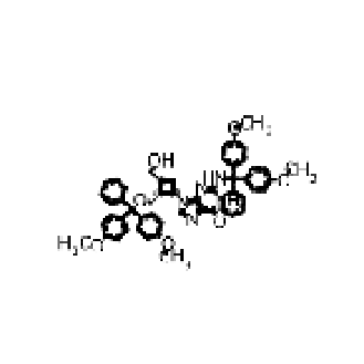 COc1ccc(C(Nc2nc3c(ncn3[C@@H]3C[C@H](CO)[C@H]3COC(c3ccccc3)(c3ccc(OC)cc3)c3ccc(OC)cc3)c(=O)[nH]2)(c2ccccc2)c2ccc(OC)cc2)cc1